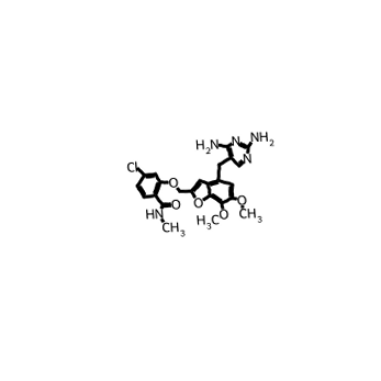 CNC(=O)c1ccc(Cl)cc1OCc1cc2c(Cc3cnc(N)nc3N)cc(OC)c(OC)c2o1